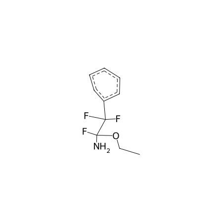 CCOC(N)(F)C(F)(F)c1ccccc1